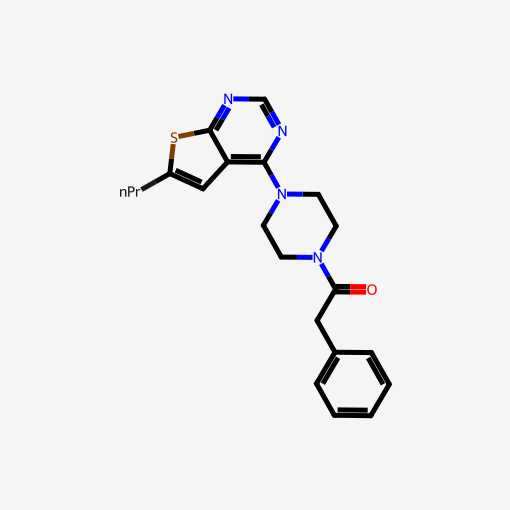 CCCc1cc2c(N3CCN(C(=O)Cc4ccccc4)CC3)ncnc2s1